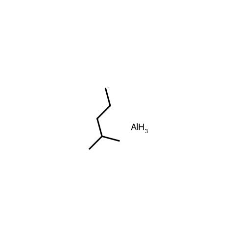 [AlH3].[CH2]CCC(C)C